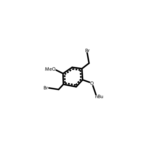 CCCCOc1cc(CBr)c(OC)cc1CBr